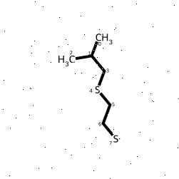 CC(C)CSCC[S]